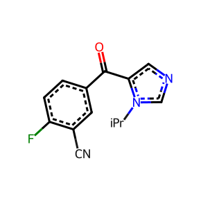 CC(C)n1cncc1C(=O)c1ccc(F)c(C#N)c1